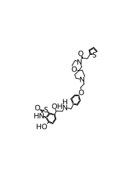 O=C(Cc1cccs1)N1CCOC2(CCN(CCOc3ccc(CNCC(O)c4ccc(O)c5[nH]c(=O)sc45)cc3)CC2)C1